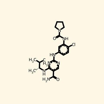 CC(C)[C@@H](C)Nc1nc(Nc2ccc(Cl)c(NC(=O)N3CCCC3)c2)ncc1C(N)=O